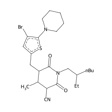 CCCCC(CC)CN1C(=O)C(C#N)C(C)C(Cc2cc(Br)c(N3CCCCC3)s2)C1=O